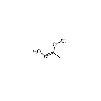 CCO/C(C)=N\O